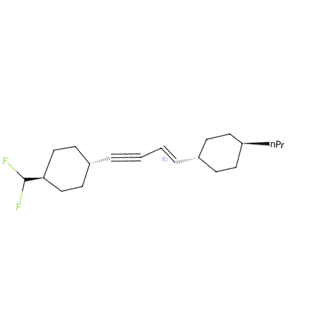 CCC[C@H]1CC[C@H](/C=C/C#C[C@H]2CC[C@H](C(F)F)CC2)CC1